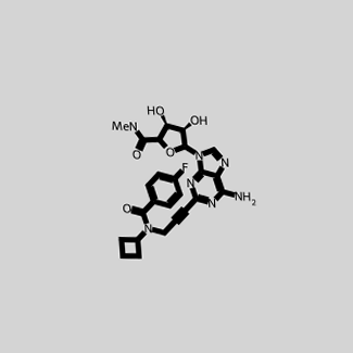 CNC(=O)C1OC(n2cnc3c(N)nc(C#CCN(C(=O)c4ccc(F)cc4)C4CCC4)nc32)[C@H](O)[C@@H]1O